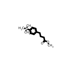 COC(=O)CCCc1ccc([Si](C)(C)C)cc1